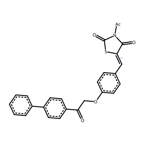 CC(=O)N1C(=O)S/C(=C\c2ccc(OCC(=O)c3ccc(-c4ccccc4)cc3)cc2)C1=O